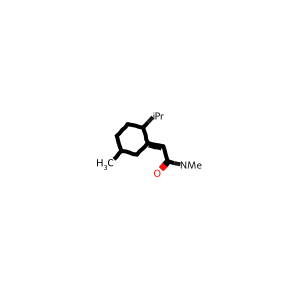 CNC(=O)C=C1CC(C)CCC1C(C)C